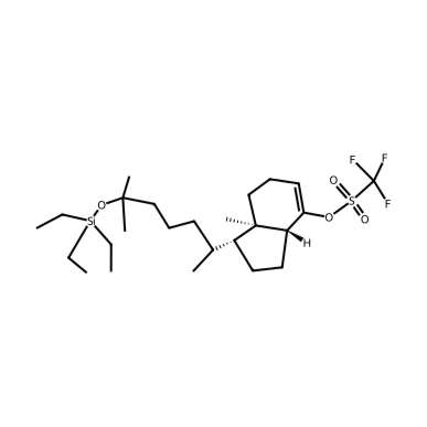 CC[Si](CC)(CC)OC(C)(C)CCCC(C)[C@H]1CC[C@H]2C(OS(=O)(=O)C(F)(F)F)=CCC[C@]12C